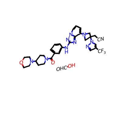 N#CCC1(n2cc(C(F)(F)F)cn2)CN(c2cccn3nc(Nc4cccc(C(=O)N5CCC(N6CCOCC6)CC5)c4)nc23)C1.O=CO